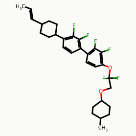 C/C=C/C1CCC(c2ccc(-c3ccc(OC(F)(F)COC4CCC(C)CC4)c(F)c3F)c(F)c2F)CC1